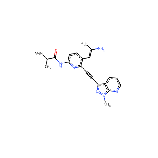 CNC(C)C(=O)Nc1ccc(/C=C(\C)N)c(C#Cc2nn(C)c3ncccc23)n1